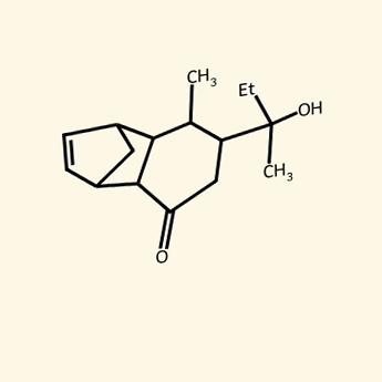 CCC(C)(O)C1CC(=O)C2C3C=CC(C3)C2C1C